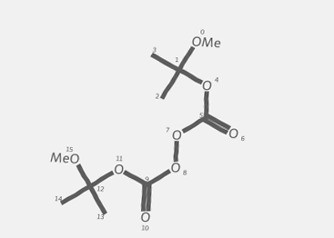 COC(C)(C)OC(=O)OOC(=O)OC(C)(C)OC